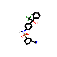 CN(c1ccc(C(O)(c2ccccc2)C(F)(F)F)cc1)S(=O)(=O)c1cccc(C#N)c1